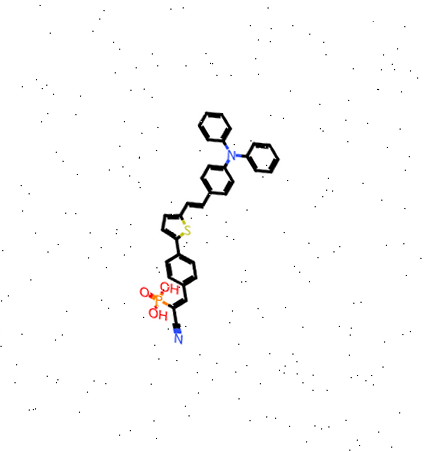 N#CC(=Cc1ccc(-c2ccc(C=Cc3ccc(N(c4ccccc4)c4ccccc4)cc3)s2)cc1)P(=O)(O)O